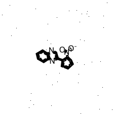 O=[N+]([O-])c1ccccc1-c1cnc2ccccc2n1